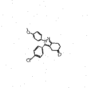 COc1ccc(-n2nc3c(c2-c2ccc(Cl)cc2)CC(=O)CC3)cc1